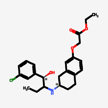 CCOC(=O)COc1ccc2c(c1)C[C@@H](NC(CC)[C@@H](O)c1cccc(Cl)c1)CC2